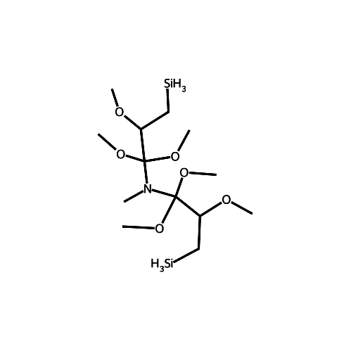 COC(C[SiH3])C(OC)(OC)N(C)C(OC)(OC)C(C[SiH3])OC